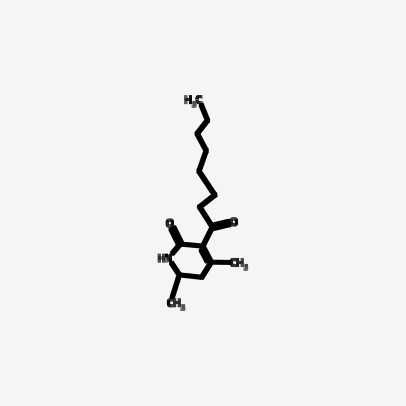 CCCCCCCC(=O)C1=C(C)CC(C)NC1=O